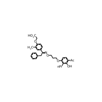 CCCc1c(OCCCO/N=C(\Cc2ccccc2)c2ccc(OCC(=O)O)c(C)c2)ccc(C(C)=O)c1O